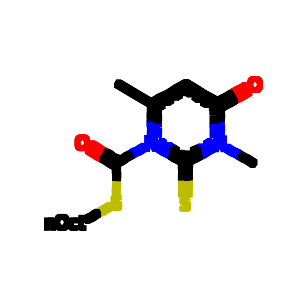 CCCCCCCCSC(=O)n1c(C)cc(=O)n(C)c1=S